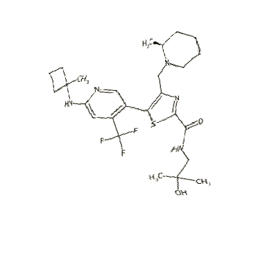 C[C@H]1CCCCN1Cc1nc(C(=O)NCC(C)(C)O)sc1-c1cnc(NC2(C)CCC2)cc1C(F)(F)F